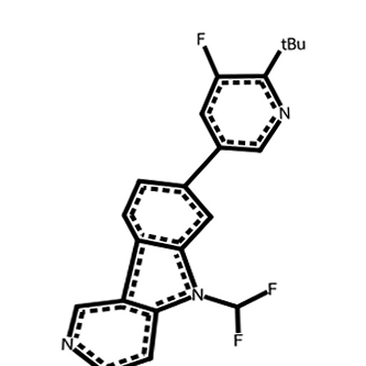 CC(C)(C)c1ncc(-c2ccc3c4cnccc4n(C(F)F)c3c2)cc1F